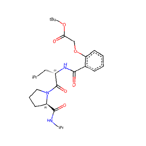 CC(C)C[C@H](NC(=O)c1ccccc1OCC(=O)OC(C)(C)C)C(=O)N1CCC[C@@H]1C(=O)NC(C)C